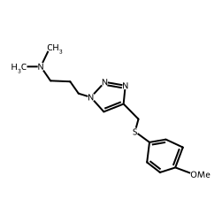 COc1ccc(SCc2cn(CCCN(C)C)nn2)cc1